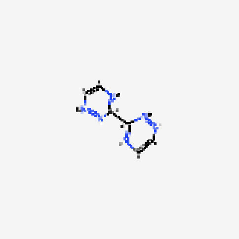 c1cnc(-c2nccnn2)nn1